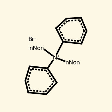 CCCCCCCCC[N+](CCCCCCCCC)(c1ccccc1)c1ccccc1.[Br-]